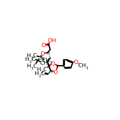 C=C[C@@H]1OC(c2ccc(OC)cc2)O[C@]1(C)CC[C@@H](CC(=O)O)O[Si](C)(C)C(C)(C)C